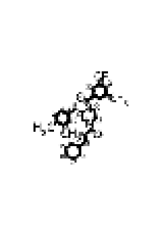 Cc1ccc(C[C@@H]2CN(C(=O)/C=C/C3CCCCC3)CCN2C(=O)c2cc(C(F)(F)F)cc(C(F)(F)F)c2)cc1C